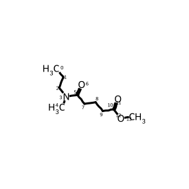 CCCN(C)C(=O)CCCC(=O)OC